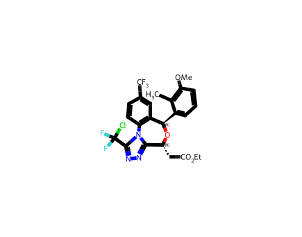 CCOC(=O)C[C@H]1O[C@H](c2cccc(OC)c2C)c2cc(C(F)(F)F)ccc2-n2c1nnc2C(F)(F)Cl